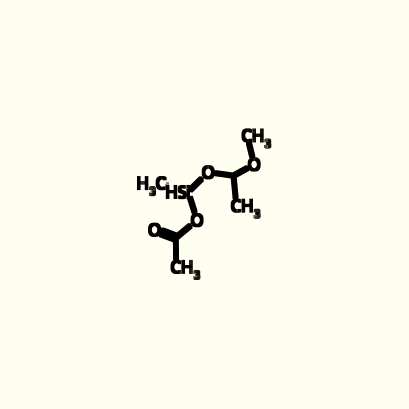 COC(C)O[SiH](C)OC(C)=O